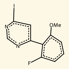 COc1cccc(F)c1-c1cc(I)ncn1